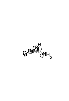 NC(=O)CC[C@H](NC(=O)c1ccc(-c2ccco2)o1)C(=O)O